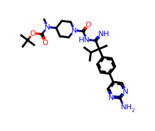 CC(C)C(C)(C(=N)NC(=O)N1CCC(N(C)C(=O)OC(C)(C)C)CC1)c1ccc(-c2cnc(N)nc2)cc1